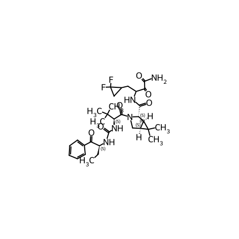 CC[C@H](NC(=O)N[C@H](C(=O)N1C[C@H]2[C@@H]([C@H]1C(=O)NC(CC1CC1(F)F)C(=O)C(N)=O)C2(C)C)C(C)(C)C)C(=O)c1ccccc1